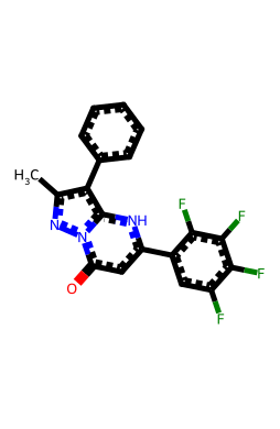 Cc1nn2c(=O)cc(-c3cc(F)c(F)c(F)c3F)[nH]c2c1-c1ccccc1